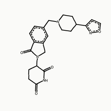 O=C1CCC(N2Cc3cc(CN4CCC(c5ccon5)CC4)ccc3C2=O)C(=O)N1